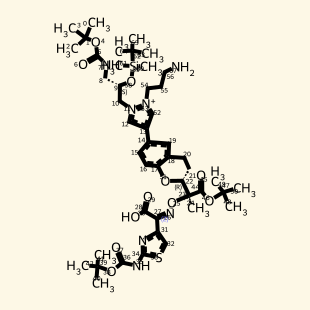 CC(C)(C)OC(=O)NC[C@@H](Cn1cc(-c2ccc3c(c2)CC[C@H]([C@](C)(O/N=C(\C(=O)O)c2csc(NC(=O)OC(C)(C)C)n2)C(=O)OC(C)(C)C)O3)c[n+]1CCCN)O[Si](C)(C)C(C)(C)C